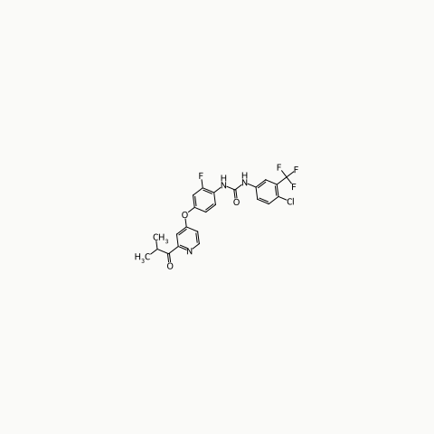 CC(C)C(=O)c1cc(Oc2ccc(NC(=O)Nc3ccc(Cl)c(C(F)(F)F)c3)c(F)c2)ccn1